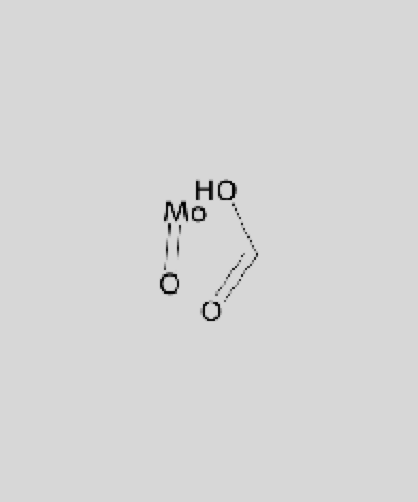 O=CO.[O]=[Mo]